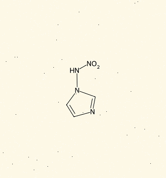 O=[N+]([O-])Nn1ccnc1